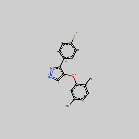 Cc1ccc(C#N)cc1Oc1c[nH]nc1-c1ccc(F)cc1